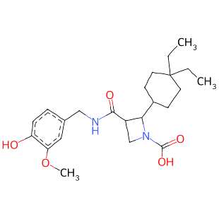 CCC1(CC)CCC(C2C(C(=O)NCc3ccc(O)c(OC)c3)CN2C(=O)O)CC1